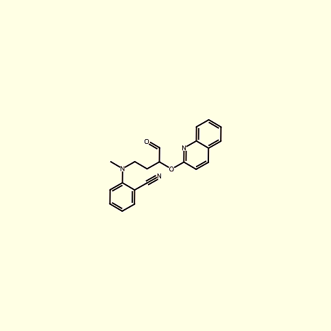 CN(CCC(C=O)Oc1ccc2ccccc2n1)c1ccccc1C#N